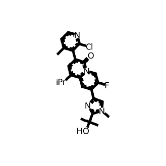 Cc1ccnc(Cl)c1-c1cc(C(C)C)c2cc(-c3cn(C)c(C(C)(C)O)n3)c(F)cn2c1=O